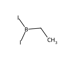 CCB(I)I